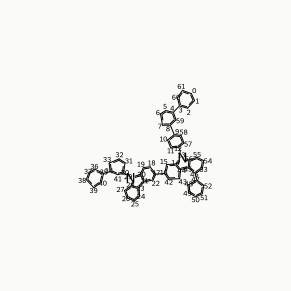 c1ccc(-c2cccc(-c3ccc(-n4c5cc(-c6ccc7c(c6)c6ccccc6n7-c6cccc(-c7ccccc7)c6)ccc5c5c(-c6ccccc6)cccc54)cc3)c2)cc1